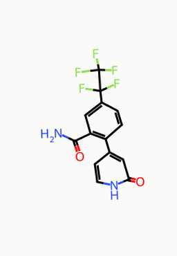 NC(=O)c1cc(C(F)(F)C(F)(F)F)ccc1-c1cc[nH]c(=O)c1